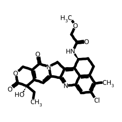 CC[C@@]1(O)C(=O)OCc2c1cc1n(c2=O)Cc2c-1nc1cc(Cl)c(C)c3c1c2[C@@H](NC(=O)COC)CC3